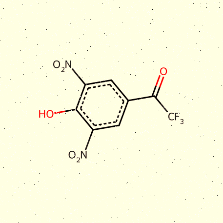 O=C(c1cc([N+](=O)[O-])c(O)c([N+](=O)[O-])c1)C(F)(F)F